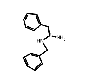 N[C@H](Cc1ccccc1)NCc1ccccc1